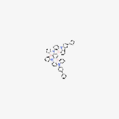 c1ccc(-c2ccc(N3c4ccccc4B4c5cc6c7c8c5N(c5ccccc5B8c5ccccc5N7c5cccc7c5B6c5cccc6c8cc(-c9ccccc9)ccc8n-7c56)c5cccc3c54)cc2)cc1